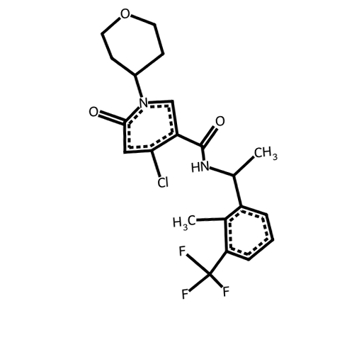 Cc1c(C(C)NC(=O)c2cn(C3CCOCC3)c(=O)cc2Cl)cccc1C(F)(F)F